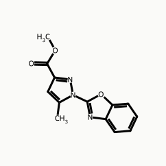 COC(=O)c1cc(C)n(-c2nc3ccccc3o2)n1